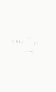 C=CCC(C)(O)C(C)(C)O